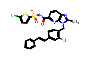 Cc1nc2ccc(C(=O)NS(=O)(=O)c3ccc(Cl)s3)nc2n1Cc1ccc(C=Cc2ccccc2)cc1Cl